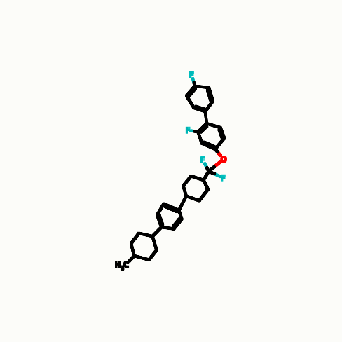 CC1CCC(c2ccc(C3CCC(C(F)(F)Oc4ccc(-c5ccc(F)cc5)c(F)c4)CC3)cc2)CC1